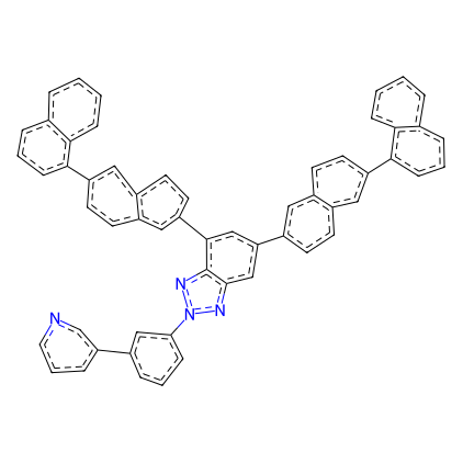 c1cncc(-c2cccc(-n3nc4cc(-c5ccc6cc(-c7cccc8ccccc78)ccc6c5)cc(-c5ccc6cc(-c7cccc8ccccc78)ccc6c5)c4n3)c2)c1